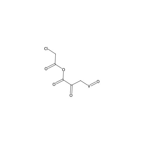 [O]=[V][CH2]C(=O)C(=O)OC(=O)CCl